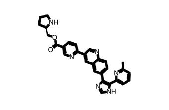 Cc1cccc(-c2[nH]cnc2-c2ccc3ncc(-c4ccc(C(=O)OC[C@H]5CCCN5)cn4)cc3c2)n1